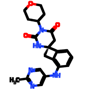 Cc1ncc(Nc2cccc3c2C[C@]32CC(=O)N(C3CCOCC3)C(=O)N2)cn1